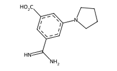 N=C(N)c1cc(C(=O)O)cc(N2CCCC2)c1